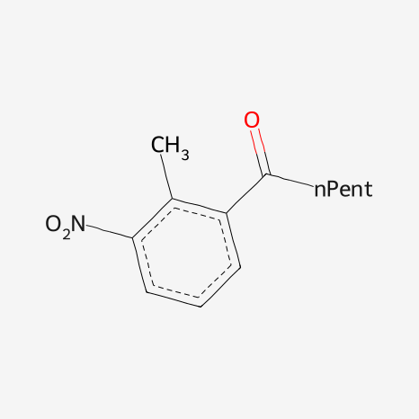 CCCCCC(=O)c1cccc([N+](=O)[O-])c1C